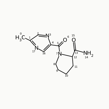 Cc1cnc(C(=O)N2CCCCC2C(N)=O)cn1